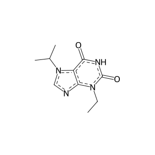 CCn1c(=O)[nH]c(=O)c2c1ncn2C(C)C